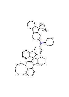 CC1(C)C2CCCCC2C2CCC(N(C3C=CC4C(C3)C3CCC=CC3C43C4CCCCC4C4C5C=CCC6CCCCCCC(CC43)C65)C3CCCCC3)CC21